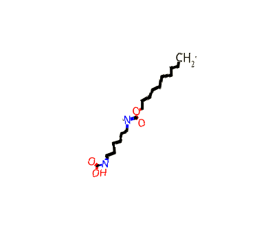 [CH2]CCCCCCCCCOC(=O)[N]CCCCCC=NC(=O)O